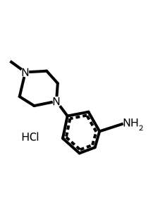 CN1CCN(c2cccc(N)c2)CC1.Cl